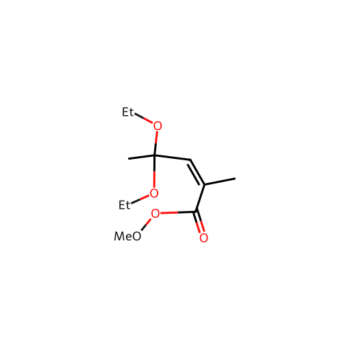 CCOC(C)(C=C(C)C(=O)OOC)OCC